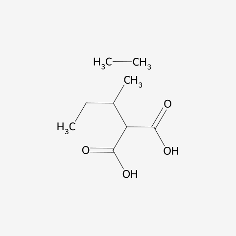 CC.CCC(C)C(C(=O)O)C(=O)O